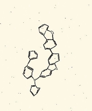 c1ccc(-c2cccc(N(c3ccccc3)c3ccc4sc5ccc(-c6ccc7c(c6)oc6ccccc67)cc5c4c3)c2)cc1